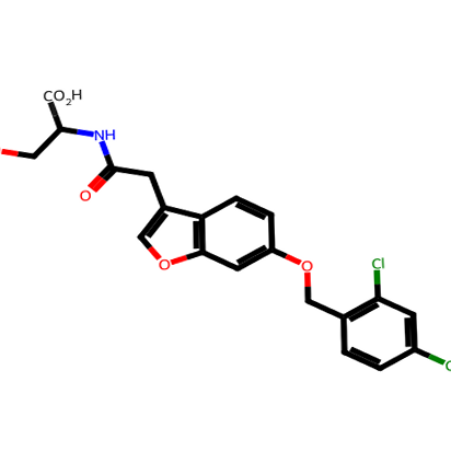 O=C(Cc1coc2cc(OCc3ccc(Cl)cc3Cl)ccc12)NC(CO)C(=O)O